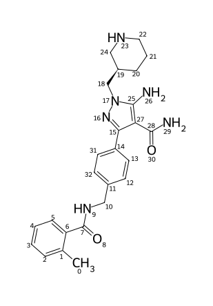 Cc1ccccc1C(=O)NCc1ccc(-c2nn(C[C@@H]3CCCNC3)c(N)c2C(N)=O)cc1